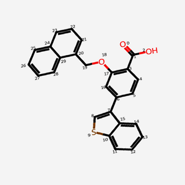 O=C(O)c1ccc(-c2csc3ccccc23)cc1OCc1cccc2ccccc12